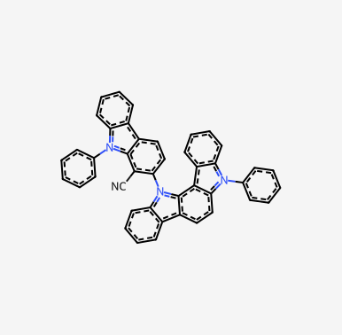 N#Cc1c(-n2c3ccccc3c3ccc4c(c5ccccc5n4-c4ccccc4)c32)ccc2c3ccccc3n(-c3ccccc3)c12